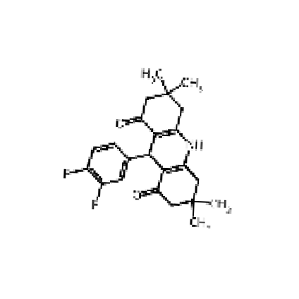 CC1(C)CC(=O)C2=C(C1)NC1=C(C(=O)CC(C)(C)C1)C2c1ccc(F)c(F)c1